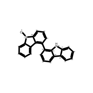 Cln1c2ccccc2c2c(-c3cccc4c3[nH]c3ccccc34)cccc21